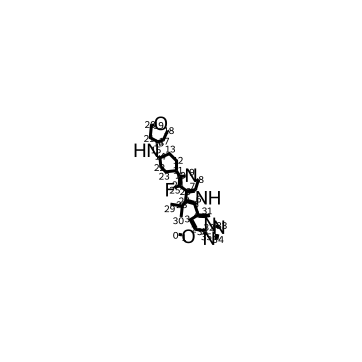 COc1cc(-c2[nH]c3cnc(C4CCC(NC5CCOCC5)CC4)c(F)c3c2C(C)C)cn2ncnc12